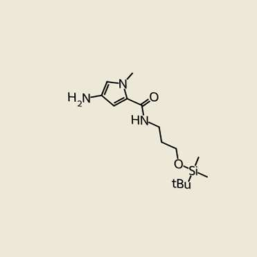 Cn1cc(N)cc1C(=O)NCCCO[Si](C)(C)C(C)(C)C